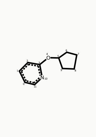 c1ccc(OC2CCCC2)nc1